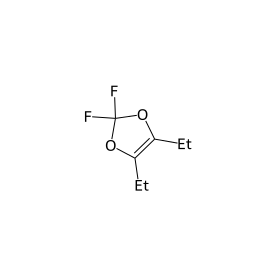 CCC1=C(CC)OC(F)(F)O1